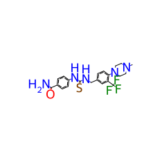 CN1CCN(c2ccc(CNC(=S)Nc3ccc(C(N)=O)cc3)cc2C(F)(F)F)CC1